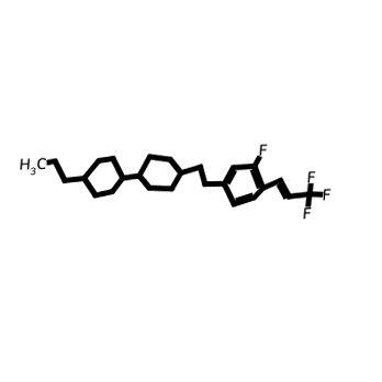 CCCC1CCC(C2CCC(CCc3ccc(/C=C/C(F)(F)F)c(F)c3)CC2)CC1